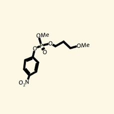 COCCCOP(=O)(OC)Oc1ccc([N+](=O)[O-])cc1